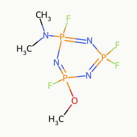 COP1(F)=NP(F)(N(C)C)=NP(F)(F)=N1